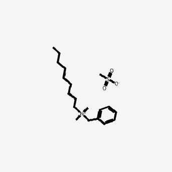 CCCCCCCCC[N+](C)(C)Cc1ccccc1.CS(=O)(=O)[O-]